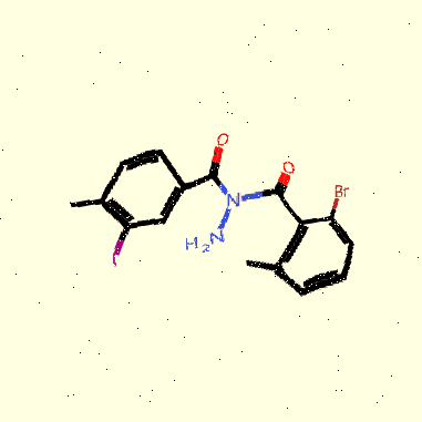 Cc1ccc(C(=O)N(N)C(=O)c2c(C)cccc2Br)cc1I